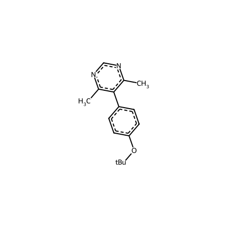 Cc1ncnc(C)c1-c1ccc(OC(C)(C)C)cc1